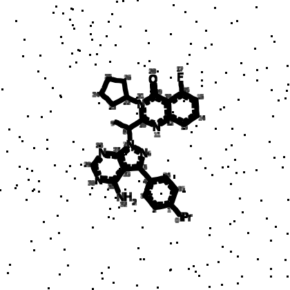 CC(C)c1ccc(-c2nn(C(C)c3nc4cccc(F)c4c(=O)n3C3CCCC3)c3ncnc(N)c23)cc1